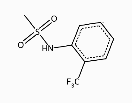 CS(=O)(=O)Nc1c[c]ccc1C(F)(F)F